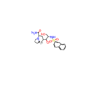 CC(CC(C(N)=O)N1CCCC1)C(=O)C(CO)NS(=O)(=O)c1ccc2ccccc2c1